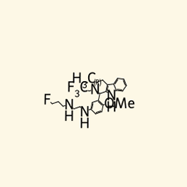 COc1ccc(NCCNCCCF)cc1C1c2[nH]c3ccccc3c2C[C@@H](C)N1CC(F)(F)F